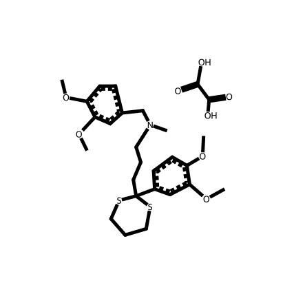 COc1ccc(CN(C)CCCC2(c3ccc(OC)c(OC)c3)SCCCS2)cc1OC.O=C(O)C(=O)O